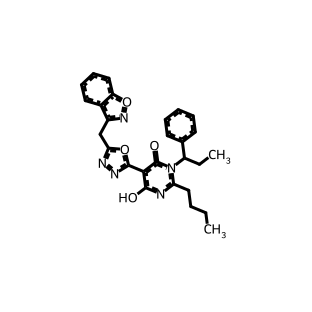 CCCCc1nc(O)c(-c2nnc(Cc3noc4ccccc34)o2)c(=O)n1C(CC)c1ccccc1